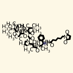 CC[C@H](C)[C@@H]([C@@H](CC(=O)N1CCC[C@H]1[C@H](O)[C@@H](C)C(=O)N[C@H](C)/C(=N/NC(=O)CCCCCN1C(=O)C=CC1=O)c1ccccc1)OC)N(C)C(=O)[C@@H](NC(=O)[C@H](C(C)C)N(C)C)C(C)C